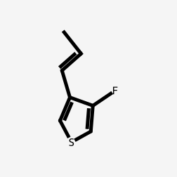 C/C=C/c1cscc1F